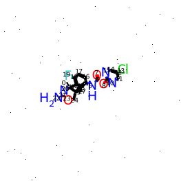 C[C@]1(c2cc(NC(=O)Oc3ncc(Cl)cn3)ccc2F)N=C(N)OCC12CC2